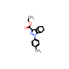 CCOC(=O)c1nn(-c2ccc(C)cc2)c2c1C1CCC2C1